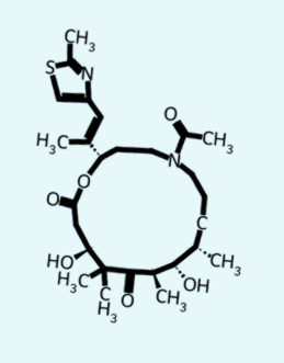 CC(=O)N1CCC[C@H](C)[C@H](O)[C@@H](C)C(=O)C(C)(C)[C@@H](O)CC(=O)O[C@H](/C(C)=C/c2csc(C)n2)CC1